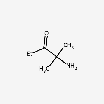 CCC(=O)C(C)(C)N